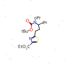 CCCN(C(=O)OC(C)(C)C)C(CCc1nc(C(=O)OCC)cs1)C(C)C